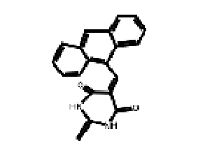 C=c1[nH]c(=O)c(=Cc2c3ccccc3cc3ccccc23)c(=O)[nH]1